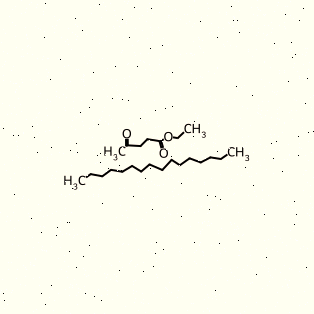 CCCCCCCCCCCCCCCC.CCOC(=O)CCC(C)=O